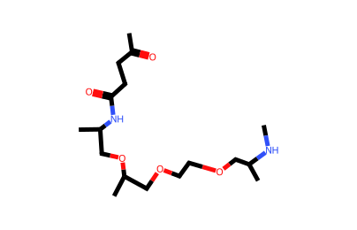 CNC(C)COCCOCC(C)OCC(C)NC(=O)CCC(C)=O